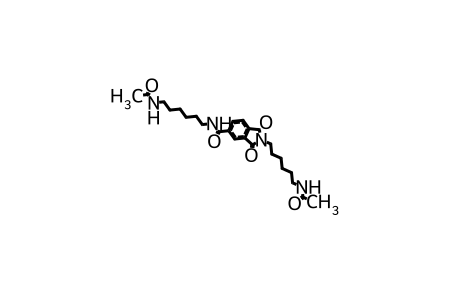 CC(=O)NCCCCCCNC(=O)c1ccc2c(c1)C(=O)N(CCCCCCNC(C)=O)C2=O